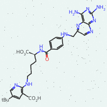 CC(C)(C)c1cnc(NCCCC[C@H](NC(=O)c2ccc(NCc3cnc4nc(N)nc(N)c4n3)cc2)C(=O)O)c(C(=O)O)c1